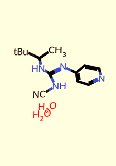 CC(N/C(=N/c1ccncc1)NC#N)C(C)(C)C.O.O